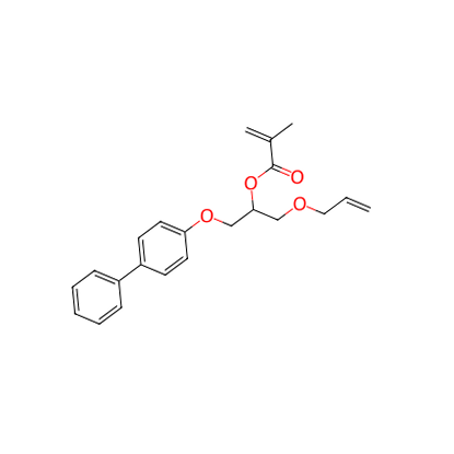 C=CCOCC(COc1ccc(-c2ccccc2)cc1)OC(=O)C(=C)C